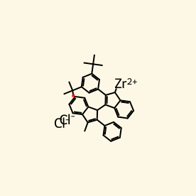 CC1=C(c2ccccc2)C(C2=C(c3cc(C(C)(C)C)cc(C(C)(C)C)c3)[CH]([Zr+2])c3ccccc32)c2ccccc21.[Cl-].[Cl-]